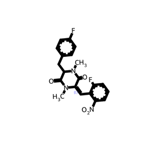 CN1C(=O)C(Cc2ccc(F)cc2)N(C)C(=O)/C1=C\c1c(F)cccc1[N+](=O)[O-]